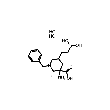 C[C@@H]1N(Cc2ccccc2)CC(CCB(O)O)CC1(N)C(=O)O.Cl.Cl